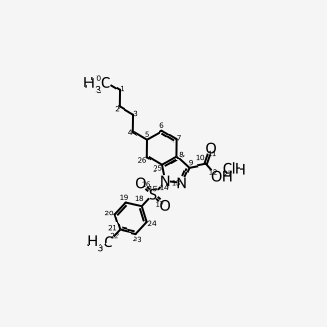 CCCCCC1C=Cc2c(C(=O)O)nn(S(=O)(=O)c3ccc(C)cc3)c2C1.Cl